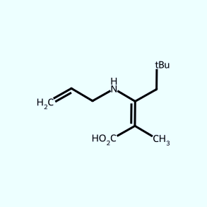 C=CCNC(CC(C)(C)C)=C(C)C(=O)O